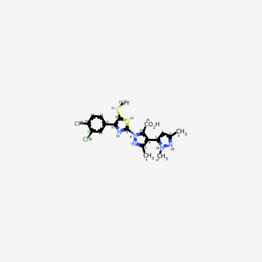 Cc1cc(-c2c(C)nn(-c3nc(-c4ccc(Cl)c(Cl)c4)c(SC(C)C)s3)c2C(=O)O)n(C)n1